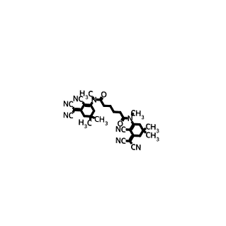 CN(C(=O)CCCCC(=O)N(C)C1=C(C#N)C(=C(C#N)C#N)CC(C)(C)C1)C1=C(C#N)C(=C(C#N)C#N)CC(C)(C)C1